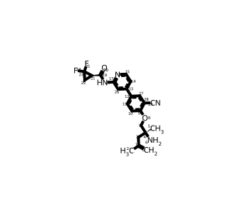 C=C(C)C[C@](C)(N)COc1ccc(-c2ccnc(NC(=O)[C@H]3CC3(F)F)c2)cc1C#N